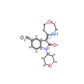 O=C1/C(=C2/CCOCCN2)c2cc([N+](=O)[O-])ccc2N1C1CCOCC1